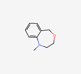 CN1CCOCc2ccccc21